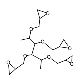 CC(OCC1CO1)C(OCC1CO1)C(OCC1CO1)C(C)OCC1CO1